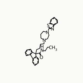 CCCNC(=O)C1(CCCCN2CCCN(c3nc4ccccc4s3)CC2)c2ccccc2-c2ccccc21